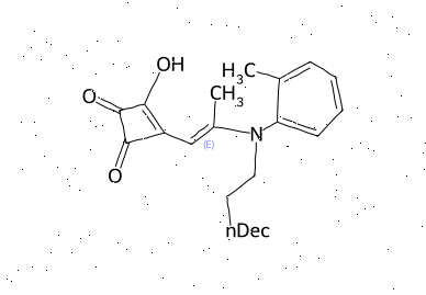 CCCCCCCCCCCCN(/C(C)=C/c1c(O)c(=O)c1=O)c1ccccc1C